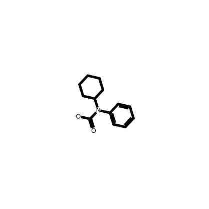 [O]C(=O)N(c1ccccc1)C1CCCCC1